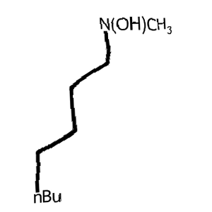 CCCCCCCCN(C)O